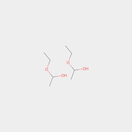 CCOC(C)O.CCOC(C)O